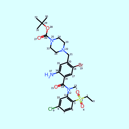 CCS(=O)(=O)c1ccc(Cl)cc1N(C)C(=O)c1cc(Br)c(CN2CCN(C(=O)OC(C)(C)C)CC2)cc1N